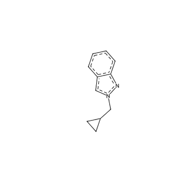 c1ccc2nn(CC3CC3)cc2c1